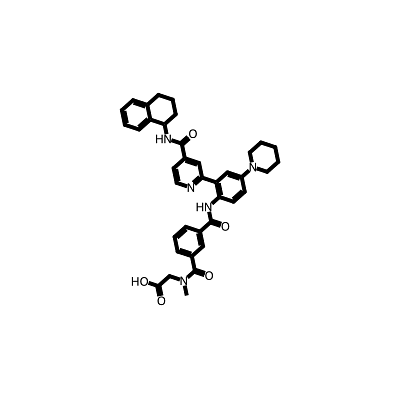 CN(CC(=O)O)C(=O)c1cccc(C(=O)Nc2ccc(N3CCCCC3)cc2-c2cc(C(=O)NC3CCCc4ccccc43)ccn2)c1